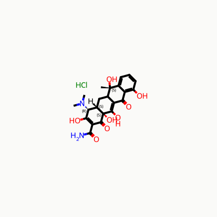 CN(C)[C@H]1C(O)=C(C(N)=O)C(=O)[C@@]2(O)C(O)=C3C(=O)c4c(O)cccc4[C@@](C)(O)C3C[C@@H]12.Cl